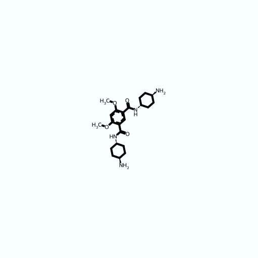 COc1cc(OC)c(C(=O)N[C@H]2CC[C@H](N)CC2)cc1C(=O)N[C@H]1CC[C@H](N)CC1